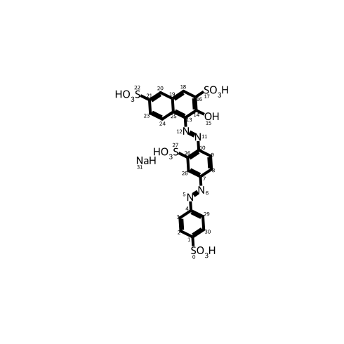 O=S(=O)(O)c1ccc(N=Nc2ccc(N=Nc3c(O)c(S(=O)(=O)O)cc4cc(S(=O)(=O)O)ccc34)c(S(=O)(=O)O)c2)cc1.[NaH]